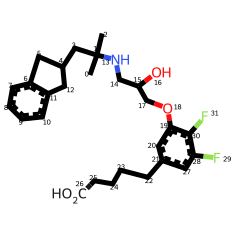 CC(C)(CC1Cc2ccccc2C1)NCC(O)COc1cc(CCCCC(=O)O)cc(F)c1F